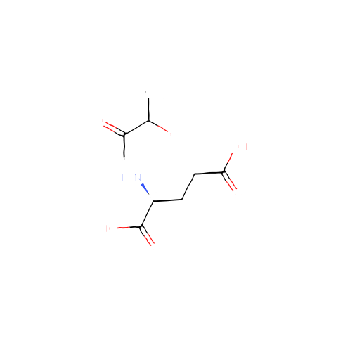 CC(=O)C(C)O.N[C@@H](CCC(=O)O)C(=O)O